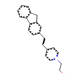 OCC[n+]1ccc(/C=C/c2ccc3c(c2)Cc2ccccc2-3)cc1